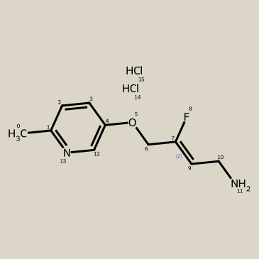 Cc1ccc(OC/C(F)=C/CN)cn1.Cl.Cl